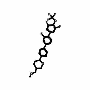 COCC1CCC(c2ccc(-c3ccc(-c4cc(F)c(OC(F)(F)F)c(F)c4)c(F)c3)cc2)OC1